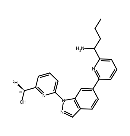 [2H][C@H](O)c1cccc(-n2ncc3ccc(-c4cccc(C(N)CCC)n4)cc32)n1